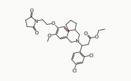 CCOC(=O)CC(c1ccc(Cl)cc1Cl)N(Cc1ccc(OCCN2C(=O)CCC2=O)c(OC)c1)CC1CCCC1